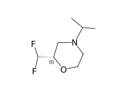 CC(C)N1CCO[C@H](C(F)F)C1